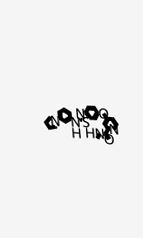 CNC(=O)c1cc(Oc2ccc3nc(Nc4cccc(N5CCCC5)c4)sc3c2)ccn1